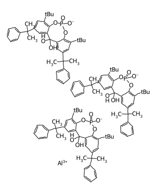 CC(C)(C)c1cc(C(C)(C)c2ccccc2)cc2c1OP(=O)([O-])Oc1c(C(C)(C)C)cc(C(C)(C)c3ccccc3)cc1C2(O)O.CC(C)(C)c1cc(C(C)(C)c2ccccc2)cc2c1OP(=O)([O-])Oc1c(C(C)(C)C)cc(C(C)(C)c3ccccc3)cc1C2(O)O.CC(C)(C)c1cc(C(C)(C)c2ccccc2)cc2c1OP(=O)([O-])Oc1c(C(C)(C)C)cc(C(C)(C)c3ccccc3)cc1C2(O)O.[Al+3]